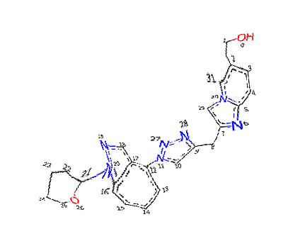 OCc1ccc2nc(Cc3cn(-c4cccc5c4cnn5C4CCCCO4)nn3)cn2c1